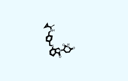 C[C@@H](NCc1ccc(CSc2cccc3c2CN(C2CCC(=O)NC2=O)C3=O)cc1)C1CC1